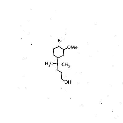 COC1CC(C(C)(C)CCCO)CCC1Br